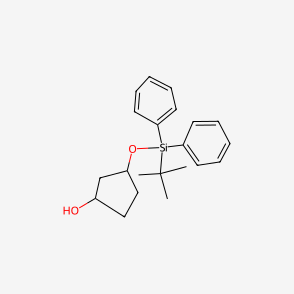 CC(C)(C)[Si](OC1CCC(O)C1)(c1ccccc1)c1ccccc1